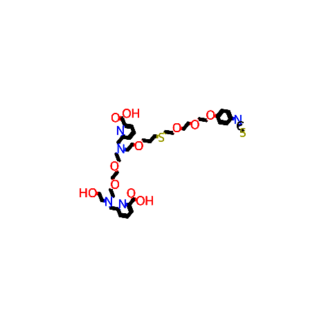 O=C(O)c1cccc(CN(CCO)CCOCCOCCN(CCOCCCSCCOCCOCCOc2ccc(N=C=S)cc2)Cc2cccc(C(=O)O)n2)n1